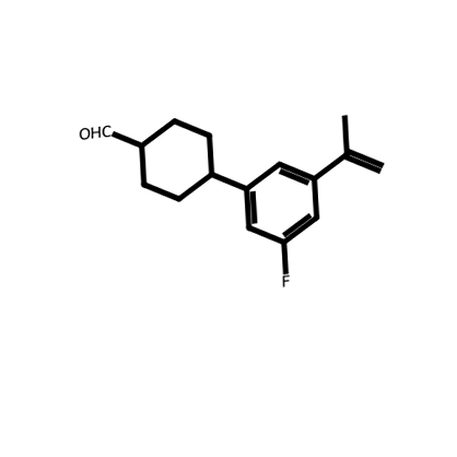 C=C(C)c1cc(F)cc(C2CCC(C=O)CC2)c1